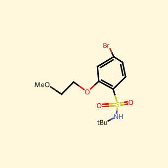 COCCOc1cc(Br)ccc1S(=O)(=O)NC(C)(C)C